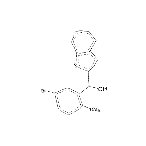 COc1ccc(Br)cc1C(O)c1cc2ccccc2s1